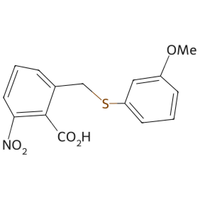 COc1cccc(SCc2cccc([N+](=O)[O-])c2C(=O)O)c1